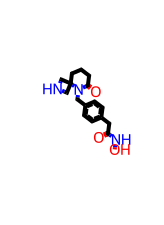 O=C(Cc1ccc(CN2C(=O)CCCC23CNC3)cc1)NO